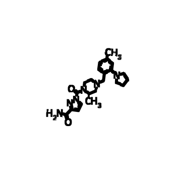 Cc1ccc(CN2CCN(C(=O)n3ccc(C(N)=O)n3)[C@H](C)C2)c(N2CCCC2)c1